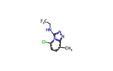 Cc1ccc(Cl)n2c(NCC(F)(F)F)nnc12